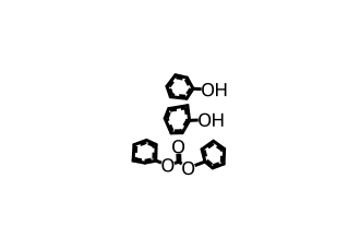 O=C(Oc1ccccc1)Oc1ccccc1.Oc1ccccc1.Oc1ccccc1